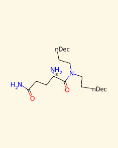 CCCCCCCCCCCCN(CCCCCCCCCCCC)C(=O)[C@@H](N)CCC(N)=O